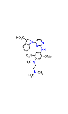 COc1cc(N(C)CCN(C)C)c([N+](=O)[O-])cc1Nc1nccc(-n2cc(C(=O)O)c3ccccc32)n1